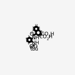 CC(C)(C)OC(=O)Nc1ccccc1NC(=O)C1CC(C(=O)O)(C(=O)O)Cc2ccccc21